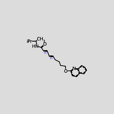 CC(C)C(C)NC(=O)/C=C/C=C/CCCCOc1ccc2ccccc2n1